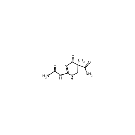 C[C@]1(C(N)=O)CNC(NC(N)=O)=NC1=O